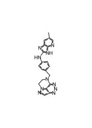 Cc1cnc2[nH]c(Nc3ccc(CN4CCn5ncc6nnnc4c65)cc3)nc2c1